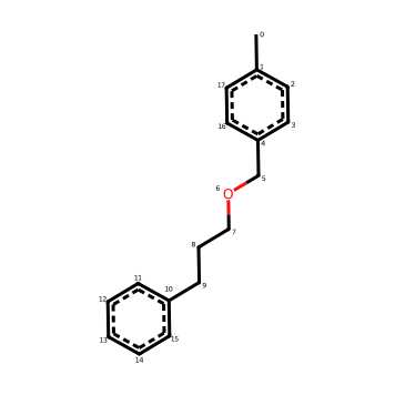 Cc1ccc(COCCCc2ccccc2)cc1